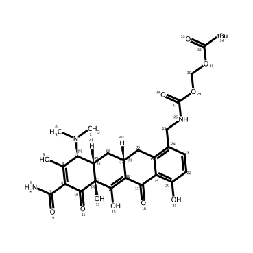 CN(C)[C@@H]1C(O)=C(C(N)=O)C(=O)[C@@]2(O)C(O)=C3C(=O)c4c(O)ccc(CNC(=O)OCOC(=O)C(C)(C)C)c4C[C@H]3C[C@@H]12